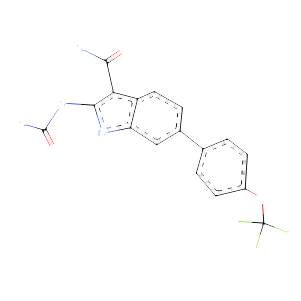 NC(=O)Nc1[nH]c2cc(-c3ccc(OC(F)(F)F)cc3)ccc2c1C(N)=O